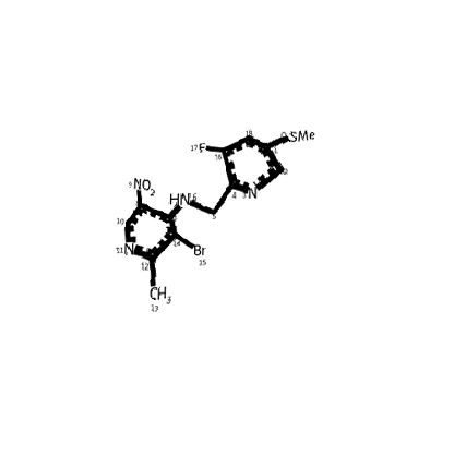 CSc1cnc(CNc2c([N+](=O)[O-])cnc(C)c2Br)c(F)c1